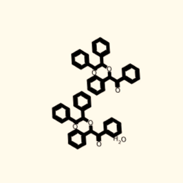 O.O=C(c1ccccc1)C(OC(C(=O)c1ccccc1)c1ccccc1)c1ccccc1.O=C(c1ccccc1)C(OC(C(=O)c1ccccc1)c1ccccc1)c1ccccc1